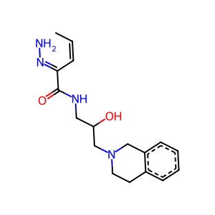 C/C=C\C(=N/N)C(=O)NCC(O)CN1CCc2ccccc2C1